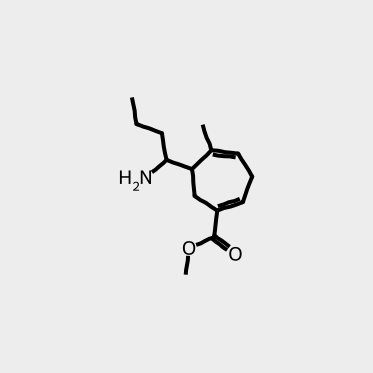 CCCC(N)C1CC(C(=O)OC)=CCC=C1C